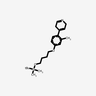 Cc1cc(OCCCCO[Si](C)(C)C(C)(C)C)ccc1C1=CCN=CC1